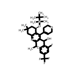 CC(C)c1nc2c(c(C3=CCOCC3)c1C(O)c1ccc(C(F)(F)F)cc1F)[C@H](O[Si](C)(C)C(C)(C)C)CC(C)(C)C2